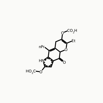 CCCC1=C2CC(OC(=O)O)=C(CC)OC2C(=O)c2cc(OC(=O)O)[nH]c21